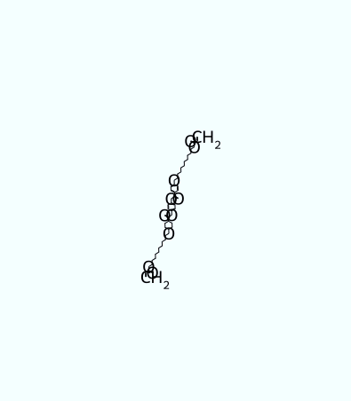 C=CC(=O)OCCCCCCCCCCOc1ccc(C(=O)Oc2ccc(OC(=O)C3CCC(OCCCCCCCCCCOC(=O)C=C)CC3)cc2)cc1